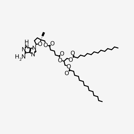 C#C[C@@]1(COC(=O)CCCC(=O)OC(COC(=O)CCCCCCCCCCCCC)COC(=O)CCCCCCCCCCCCC)CC[C@H](n2cnc3c(N)n[nH]c32)O1